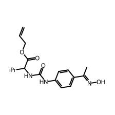 C=CCOC(=O)C(NC(=O)Nc1ccc(/C(C)=N/O)cc1)C(C)C